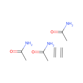 C=C.C=C.CC(N)=O.CC(N)=O.CC(N)=O